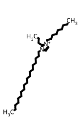 CCCCCCCCCCCCCCCCCCCn1cc[n+](CCCCCCCCC)c1CCC